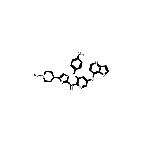 CC(=O)N1CCC(c2csc(Nc3ncc(Sc4ccnc5ccsc45)cc3Oc3ccc(C(F)(F)F)cc3)n2)CC1